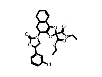 CCOC(=O)C1(C(=O)OCC)OC2=C(O1)C(N1CC(c3cccc(Cl)c3)OC1=O)CC1=C2C=CCC1